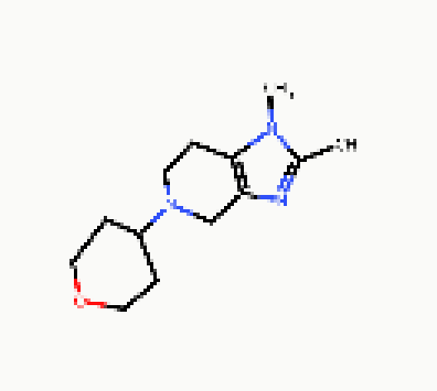 Cc1nc2c(n1C)CCN(C1CCOCC1)C2